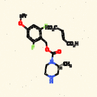 CCCOc1cc(F)c(COC(=O)N2CCNC[C@H]2C)c(F)c1.O=C(O)C=CC(=O)O